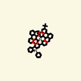 CC(C)(C)c1cc(-c2cccc3c2=C(c2ccccc2N(c2ccccc2-c2ccc4c5ccccc5n(-c5ccccc5)c4c2)c2ccccc2-c2cccc4cccc(-c5ccccc5)c24)CCC=3)cc(C(C)(C)C)c1